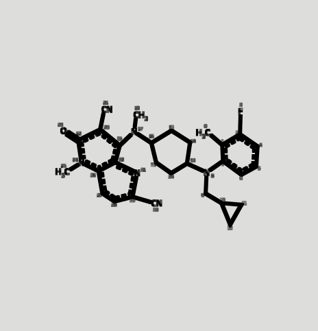 Cc1c(F)cccc1N(CC1CC1)C1CCC(N(C)c2c(C#N)c(=O)n(C)c3ccc(C#N)nc23)CC1